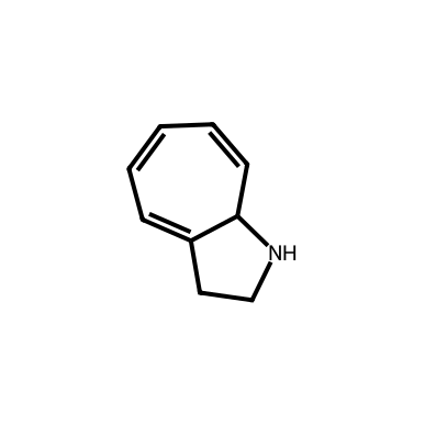 C1=CC=C2CCNC2C=C1